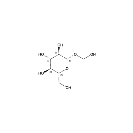 OCO[C@@H]1O[C@H](CO)[C@@H](O)[C@H](O)[C@H]1O